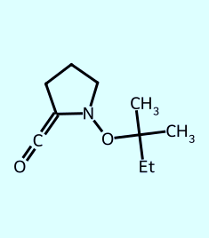 CCC(C)(C)ON1CCCC1=C=O